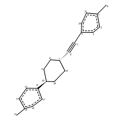 Cc1ccc(C#C[C@H]2CC[C@H](c3ccc(C)cc3)CC2)cc1